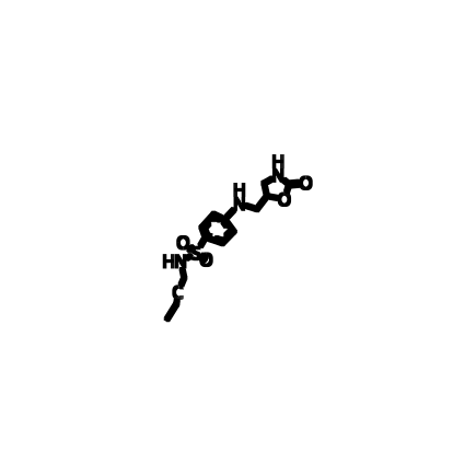 CCCCNS(=O)(=O)c1ccc(NCC2CNC(=O)O2)cc1